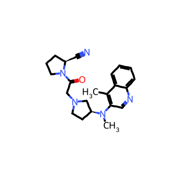 Cc1c(N(C)[C@H]2CCN(CC(=O)N3CCC[C@H]3C#N)C2)cnc2ccccc12